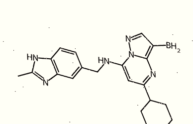 Bc1cnn2c(NCc3ccc4[nH]c(C)nc4c3)cc(C3CCCCC3)nc12